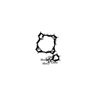 C1=Cc2cc3ccc(cc4nc(cc5ccc(cc1n2)[nH]5)C=C4)[nH]3.C[O][Mn]([O]C)([O]C)([O]C)[c]1ccccc1